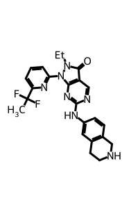 CCn1c(=O)c2cnc(Nc3ccc4c(c3)CCNC4)nc2n1-c1cccc(C(C)(F)F)n1